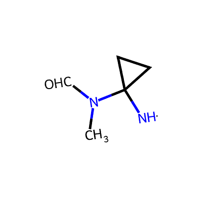 CN(C=O)C1([NH])CC1